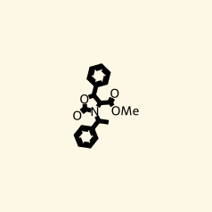 COC(=O)C1C(c2ccccc2)OC(=O)N1C(C)c1ccccc1